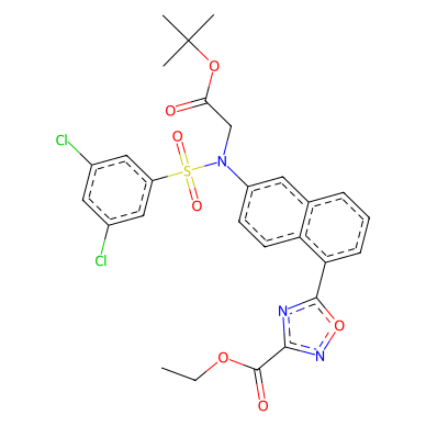 CCOC(=O)c1noc(-c2cccc3cc(N(CC(=O)OC(C)(C)C)S(=O)(=O)c4cc(Cl)cc(Cl)c4)ccc23)n1